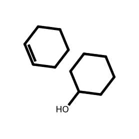 C1=CCCCC1.OC1CCCCC1